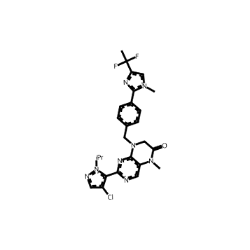 CC(C)n1ncc(Cl)c1-c1ncc2c(n1)N(Cc1ccc(-c3nc(C(C)(F)F)cn3C)cc1)CC(=O)N2C